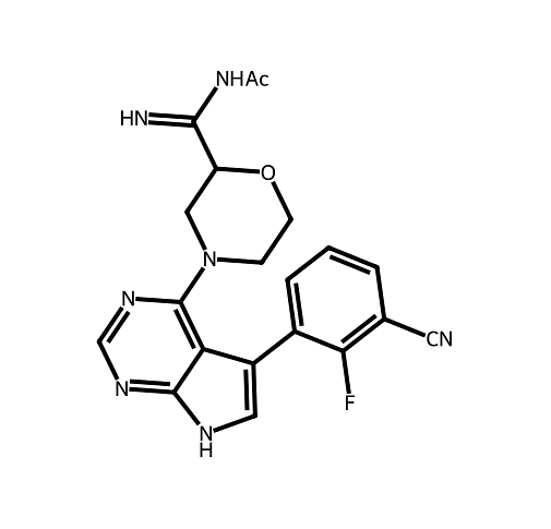 CC(=O)NC(=N)C1CN(c2ncnc3[nH]cc(-c4cccc(C#N)c4F)c23)CCO1